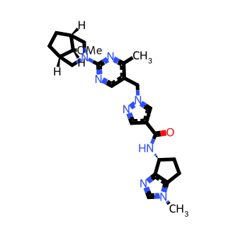 CO[C@H]1[C@@H]2CC[C@H]1CN(c1ncc(Cn3cc(C(=O)N[C@@H]4CCc5c4ncn5C)cn3)c(C)n1)C2